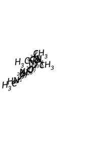 CCc1nn2c(C)cc(C)nc2c1Cc1ccc(-n2cc(CNC)cn2)cc1